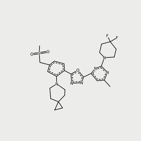 Cc1cc(-c2nnc(-c3ccc(CS(C)(=O)=O)cc3N3CCC4(CC3)CC4)o2)nc(N2CCC(F)(F)CC2)n1